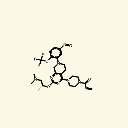 C=CC(=O)N1CCN(c2nc(O[C@H](C)CN(C)C)nc3c2CCN(c2cc(N=O)ccc2OC(F)(F)F)C3)CC1